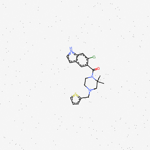 CC1(C)CN(Cc2cccs2)CCN1C(=O)c1cc2cc[nH]c2cc1Cl